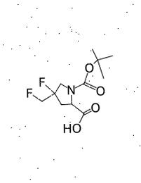 CC(C)(C)OC(=O)N1CC(F)(CF)CC1C(=O)O